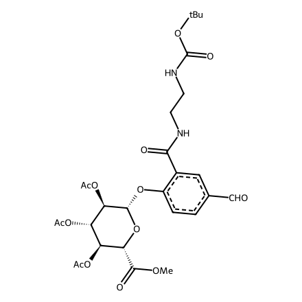 COC(=O)[C@H]1O[C@@H](Oc2ccc(C=O)cc2C(=O)NCCNC(=O)OC(C)(C)C)[C@H](OC(C)=O)[C@@H](OC(C)=O)[C@@H]1OC(C)=O